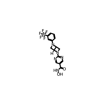 O=C(NO)c1cnc(N2CC3[C@H]2CN3c2cccc(S(F)(F)(F)(F)F)c2)nc1